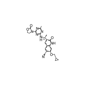 Cc1nc(N[C@@H](C)c2cc3cc(C#N)c(OCC4CC4)cc3[nH]c2=O)nc(N2CCOC2=O)n1